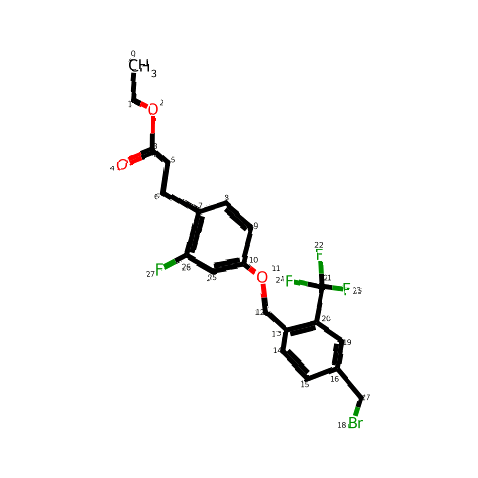 CCOC(=O)CCc1ccc(OCc2ccc(CBr)cc2C(F)(F)F)cc1F